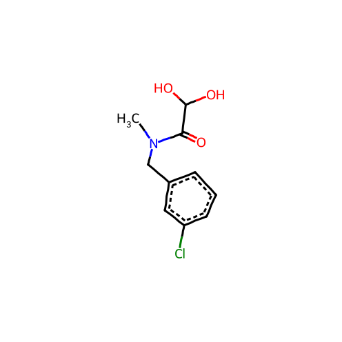 CN(Cc1cccc(Cl)c1)C(=O)C(O)O